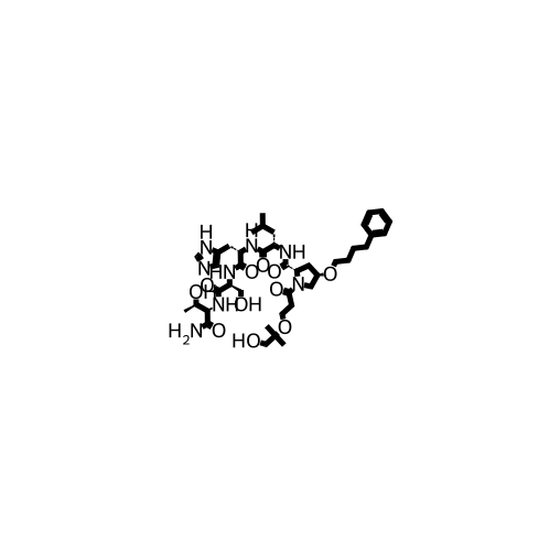 CC(C)C[C@H](NC(=O)[C@@H]1C[C@@H](OCCCCc2ccccc2)CN1C(=O)CCOC(C)(C)CO)C(=O)N[C@@H](Cc1cnc[nH]1)C(=O)N[C@@H](CO)C(=O)N[C@H](C(N)=O)[C@@H](C)O